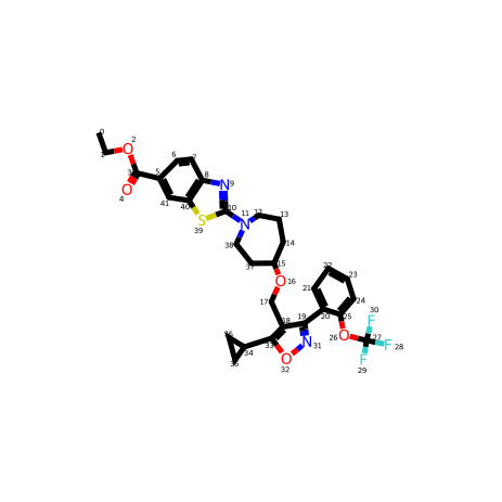 CCOC(=O)c1ccc2nc(N3CCCC(OCc4c(-c5ccccc5OC(F)(F)F)noc4C4CC4)CC3)sc2c1